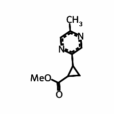 COC(=O)C1CC1c1cnc(C)cn1